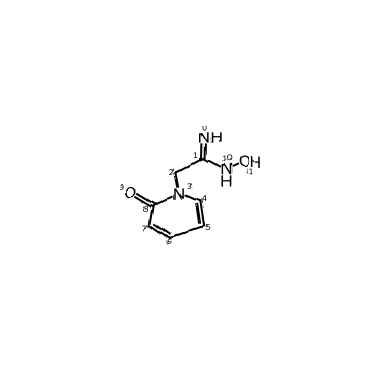 N=C(Cn1ccccc1=O)NO